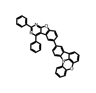 c1ccc(-c2nc(-c3ccccc3)c3c(n2)oc2ccc(-c4ccc5c(c4)c4cccc6c4n5-c4ccccc4O6)cc23)cc1